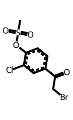 CS(=O)(=O)Oc1ccc(C(=O)CBr)cc1Cl